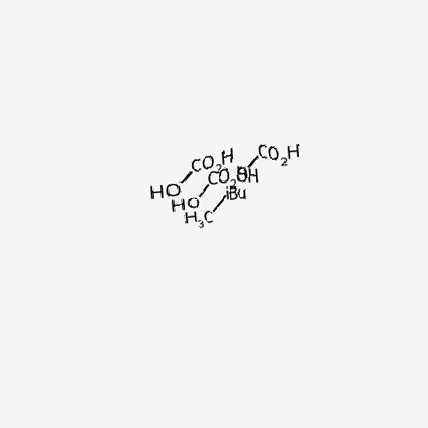 CCC(C)C.O=C(O)O.O=C(O)O.O=C(O)O